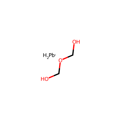 OCOCO.[PbH2]